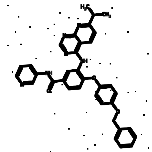 CC(C)c1ccc2c(Nc3cc(C(=O)Nc4cccnc4)ccc3Oc3ccc(OCc4ccccc4)cc3)ncnc2n1